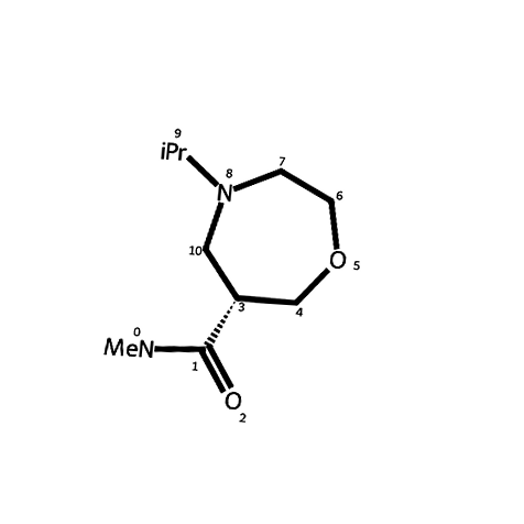 CNC(=O)[C@H]1COCCN(C(C)C)C1